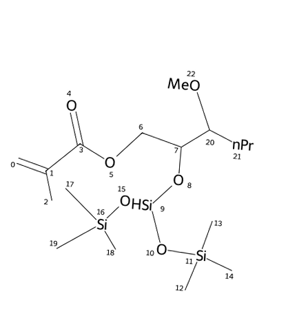 C=C(C)C(=O)OCC(O[SiH](O[Si](C)(C)C)O[Si](C)(C)C)C(CCC)OC